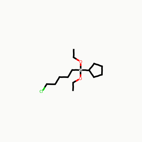 CCO[Si](CCCCCCl)(OCC)C1CCCC1